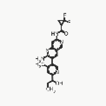 CCC(O)c1cc(C)c(-c2cc3cnc(NC(=O)[C@H]4CC4(F)F)cc3nc2N)cn1